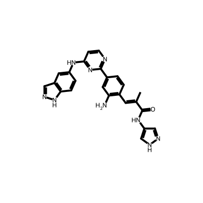 C/C(=C\c1ccc(-c2nccc(Nc3ccc4[nH]ncc4c3)n2)cc1N)C(=O)Nc1cn[nH]c1